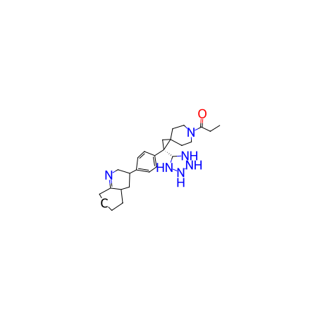 CCC(=O)N1CCC2(CC1)C[C@@]2(c1ccc(C2CN=C3CCCCC3C2)cc1)C1NNNN1